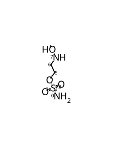 NS(=O)(=O)OCCNO